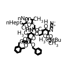 CCCCCCCCCC(C)[C@H](CC(=O)NC1[C@H](OCC2OC(O[Si](C)(C)C(C)(C)C)C(N=[N+]=[N-])[C@@H](O)[C@@H]2C)OC(COCc2ccccc2)[C@@H](OP2(=O)OCc3ccccc3CO2)[C@@H]1C)OC(=O)C(C)CCCCCCC